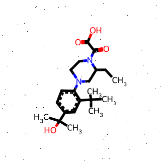 CCC1CN(c2ccc(C(C)(C)O)cc2C(C)(C)C)CCN1C(=O)C(=O)O